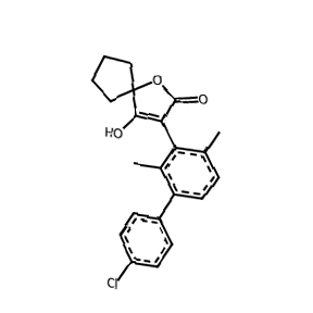 Cc1ccc(-c2ccc(Cl)cc2)c(C)c1C1=C(O)C2(CCCC2)OC1=O